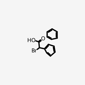 O=C(O)C(Br)c1ccccc1.c1ccccc1